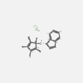 CC1=C(C)[C](C)([Zr+2][CH]2C=Cc3ccccc32)C(C)=C1C.[Cl-].[Cl-]